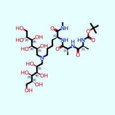 CNC(=O)[C@H](CCCCN(C[C@H](O)[C@@H](O)[C@H](O)[C@H](O)CO)C[C@H](O)[C@@H](O)[C@H](O)[C@H](O)CO)NC(=O)[C@H](C)NC(=O)[C@H](C)NC(=O)OC(C)(C)C